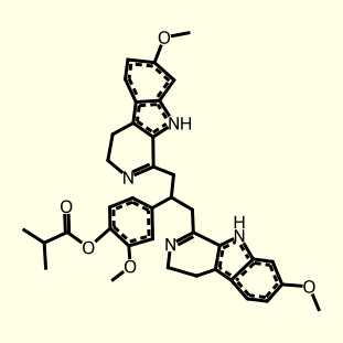 COc1ccc2c3c([nH]c2c1)C(CC(CC1=NCCc2c1[nH]c1cc(OC)ccc21)c1ccc(OC(=O)C(C)C)c(OC)c1)=NCC3